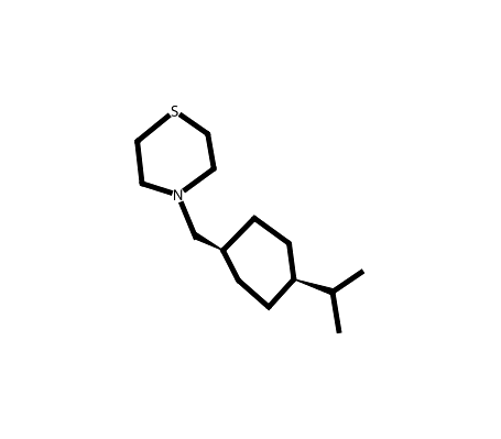 CC(C)[C@H]1CC[C@@H](CN2CCSCC2)CC1